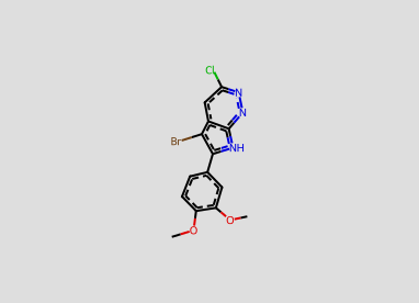 COc1ccc(-c2[nH]c3nnc(Cl)cc3c2Br)cc1OC